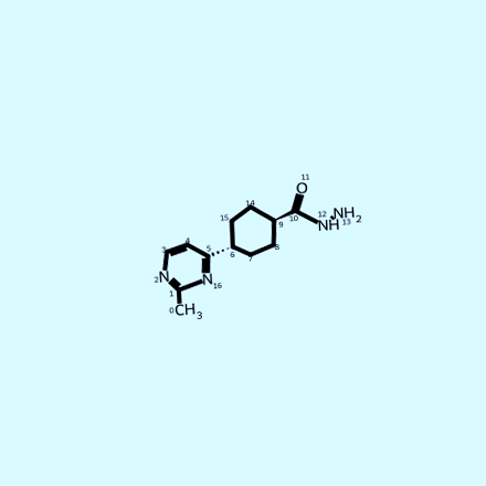 Cc1nccc([C@H]2CC[C@H](C(=O)NN)CC2)n1